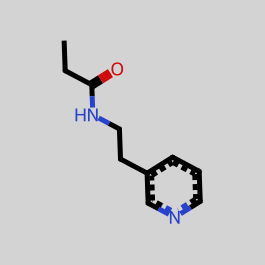 CCC(=O)NCCc1cccnc1